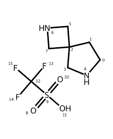 C1CC2(CN1)CNC2.O=S(=O)(O)C(F)(F)F